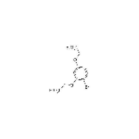 CCOC(=O)COc1ccc(Br)c(OCC(=O)OCC)c1